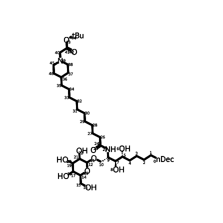 CCCCCCCCCCCCCC[C@@H](O)[C@@H](O)[C@H](COC1OC(CO)C(O)C(O)C1O)NC(=O)CCCCCCCCCCC1CCN(CC(=O)OC(C)(C)C)CC1